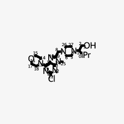 CC(C)C(CO)N1CCN(Cc2nc3c(N4CCOCC4)nc(Cl)nc3n2C)CC1